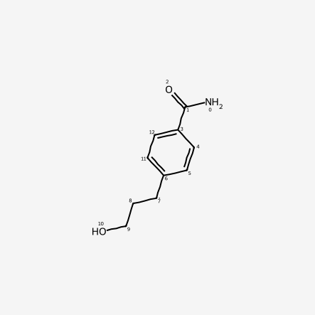 NC(=O)c1ccc([CH]CCO)cc1